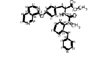 COC(=O)C(Cc1ccc(Oc2nccc3ccncc23)cc1)NC(=O)N(C)c1ccccc1Cc1ccccc1